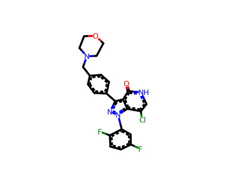 O=c1[nH]cc(Cl)c2c1c(-c1ccc(CN3CCOCC3)cc1)nn2-c1cc(F)ccc1F